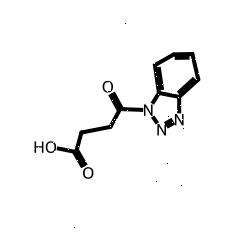 O=C(O)CCC(=O)n1nnc2ccccc21